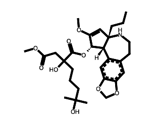 CCC[C@]12C=C(OC)[C@@H](OC(=O)C(O)(CCCC(C)(C)O)CC(=O)OC)[C@H]1c1cc3c(cc1CCN2)OCO3